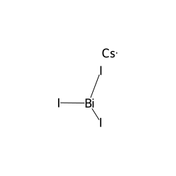 [Cs].[I][Bi]([I])[I]